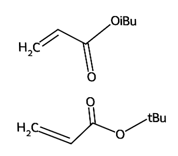 C=CC(=O)OC(C)(C)C.C=CC(=O)OCC(C)C